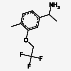 Cc1ccc(C(C)N)cc1OCC(F)(F)F